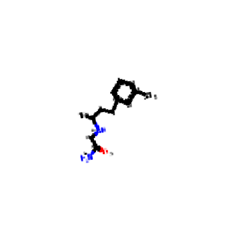 [2H]C(CCc1cccc(C)c1)NCC(N)=O